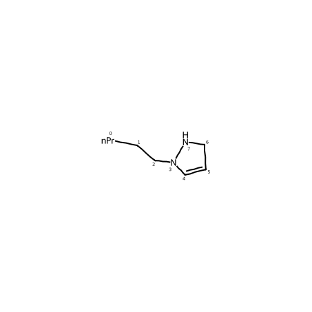 CCCCCN1C=CCN1